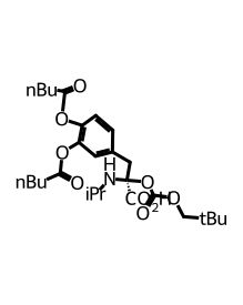 CCCCC(=O)Oc1ccc(C[C@](NC(C)C)(OC(=O)OCC(C)(C)C)C(=O)O)cc1OC(=O)CCCC